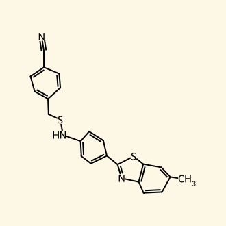 Cc1ccc2nc(-c3ccc(NSCc4ccc(C#N)cc4)cc3)sc2c1